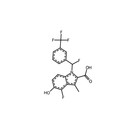 Cc1c(C(=O)O)n(C(F)c2cccc(C(F)(F)F)c2)c2ccc(O)c(F)c12